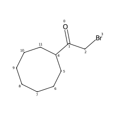 O=C(CBr)C1CCCCCCC1